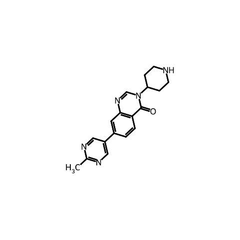 Cc1ncc(-c2ccc3c(=O)n(C4CCNCC4)cnc3c2)cn1